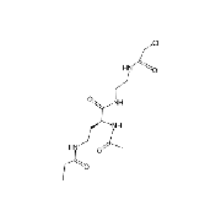 O=C(CCl)NCCNC(=O)[C@H](CCNC(=O)CI)NC(=O)CI